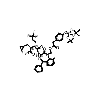 CC(C)(C)OP(=O)(Oc1ccc(CC(=O)OCN2C(=O)[C@@H](NC(=O)[C@H](CCC(F)(F)F)[C@H](CC3CC3)C(N)=O)N=C(c3ccccc3)c3cccc(F)c32)cc1)OC(C)(C)C